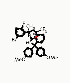 COc1ccc(C(NC2=N[C@](C)(c3cc(Br)ccc3F)C[C@@H](C(F)(F)F)O2)(c2ccccc2)c2ccc(OC)cc2)cc1